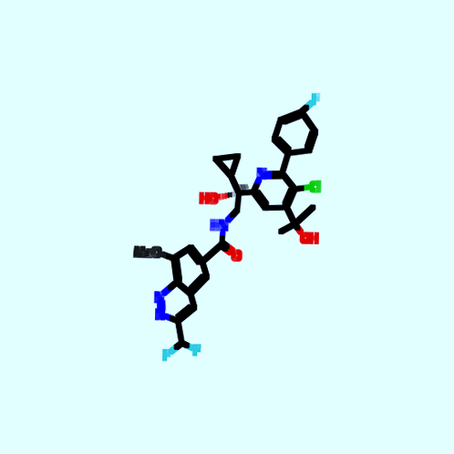 COc1cc(C(=O)NC[C@](O)(c2cc(C(C)(C)O)c(Cl)c(-c3ccc(F)cc3)n2)C2CC2)cc2cc(C(F)F)nnc12